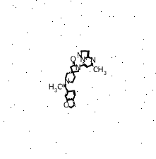 Cc1cc(N2CC3(CCN([C@@H](C)c4ccc5c(c4)OCC5)CC3)CC2=O)n2nccc2n1